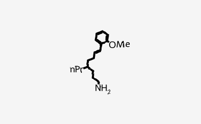 CCCC(CC/C=C/c1ccccc1OC)CCCN